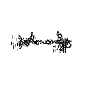 CCCC[C@H](NC(=O)[C@H](C)NC)C(=O)N1[C@@H](C)CC[C@H]1C(=O)N[C@@H](c1ccc(F)cc1)c1cn(CCCCc2ccc(CCCCn3cc([C@@H](NC(=O)[C@@H]4CC[C@@H]5CCCC[C@H](NC(=O)[C@H](C)NC)C(=O)N54)c4ccc(F)cc4)nn3)cc2)nn1